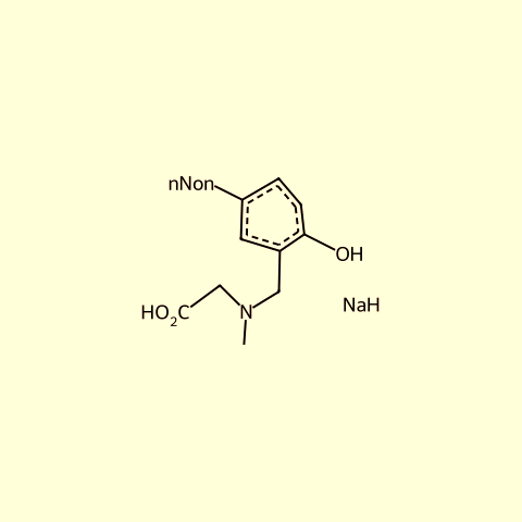 CCCCCCCCCc1ccc(O)c(CN(C)CC(=O)O)c1.[NaH]